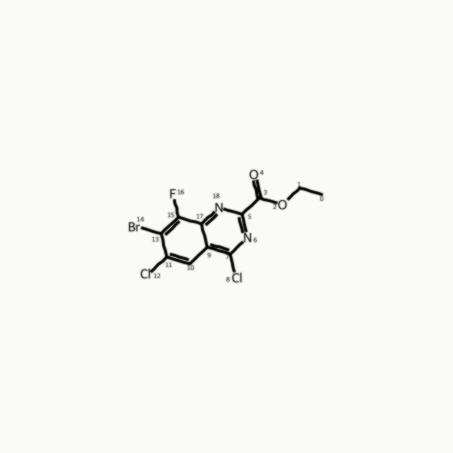 CCOC(=O)c1nc(Cl)c2cc(Cl)c(Br)c(F)c2n1